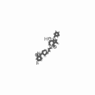 Cc1cn(Cc2ccccc2)c2c1C(=O)N(CCCN1CCC(c3noc4cc(F)ccc34)CC1)CCC2O